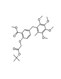 COC(=O)c1cc(Cc2c(C)c(OC)c(OC)c(OC)c2OC)ccc1OCC(=O)OC(C)(C)C